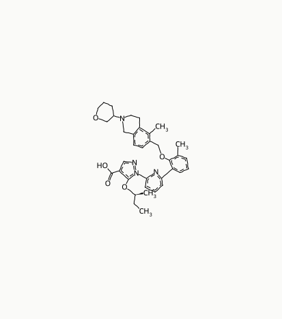 CC[C@H](C)Oc1c(C(=O)O)cnn1-c1cccc(-c2cccc(C)c2OCc2ccc3c(c2C)CCN(C2CCCOC2)C3)n1